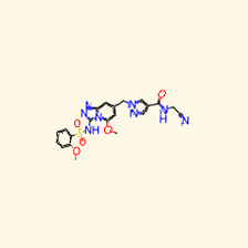 COc1ccccc1S(=O)(=O)Nc1nnc2cc(Cn3cc(C(=O)NCC#N)cn3)cc(OC)n12